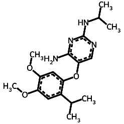 COc1cc(Oc2cnc(NC(C)C)nc2N)c(C(C)C)cc1OC